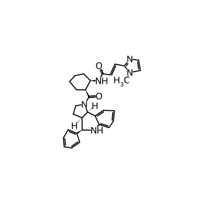 Cn1ccnc1C=CC(=O)N[C@@H]1CCCC[C@@H]1C(=O)N1CC[C@@H]2[C@H](c3ccccc3)Nc3ccccc3[C@@H]21